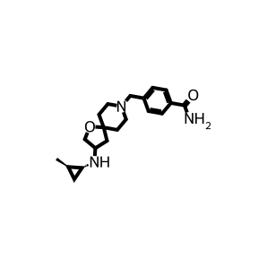 C[C@@H]1C[C@H]1NC1COC2(CCN(Cc3ccc(C(N)=O)cc3)CC2)C1